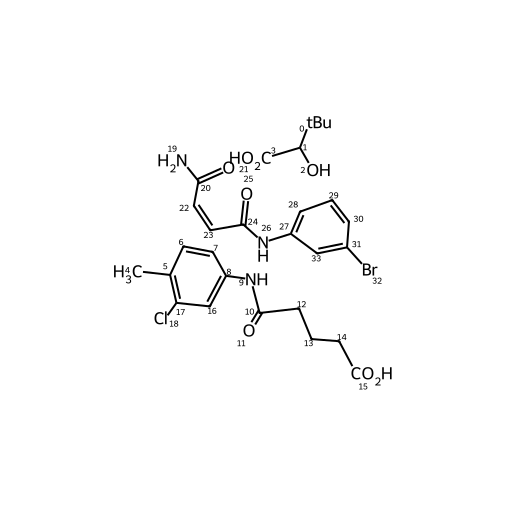 CC(C)(C)C(O)C(=O)O.Cc1ccc(NC(=O)CCCC(=O)O)cc1Cl.NC(=O)/C=C\C(=O)Nc1cccc(Br)c1